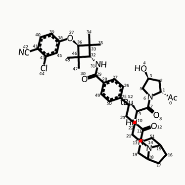 CC(=O)[C@H]1C[C@H](O)CN1C(=O)[C@@H](NC(=O)CN1C2CCC1CN(CCCCc1ccc(C(=O)N[C@H]3C(C)(C)[C@H](Oc4ccc(C#N)c(Cl)c4)C3(C)C)cc1)C2)C(C)(C)C